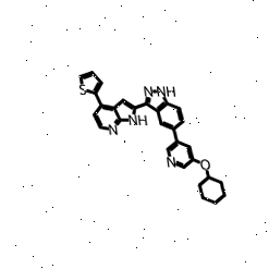 c1csc(-c2ccnc3[nH]c(-c4n[nH]c5ccc(-c6cncc(OC7CCCCC7)c6)cc45)cc23)c1